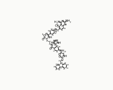 COC(=O)[C@H](CCCNC(=O)c1ccc(NC(=O)[C@H](C)NC(=O)OCC2c3ccccc3-c3ccccc32)cc1-c1nnn[nH]1)NC(=O)c1ccc(NCc2ccc3nc(N)nc(N)c3c2Cl)cc1